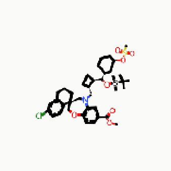 COC(=O)c1ccc2c(c1)N(C[C@@H]1CC[C@H]1C(O[Si](C)(C)C(C)(C)C)[C@@H]1CCC[C@@H](OS(C)(=O)=O)C1)C[C@@]1(CCCc3cc(Cl)ccc31)CO2